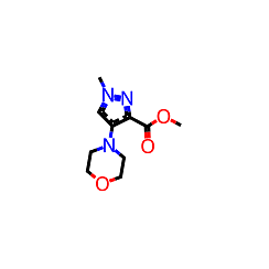 COC(=O)c1nn(C)cc1N1CCOCC1